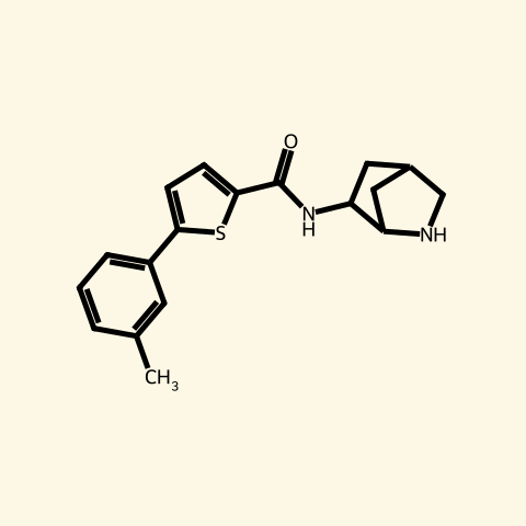 Cc1cccc(-c2ccc(C(=O)NC3CC4CNC3C4)s2)c1